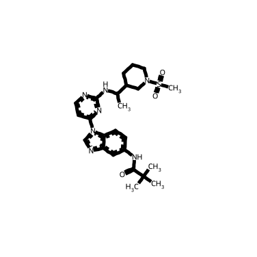 CC(Nc1nccc(-n2cnc3cc(NC(=O)C(C)(C)C)ccc32)n1)C1CCCN(S(C)(=O)=O)C1